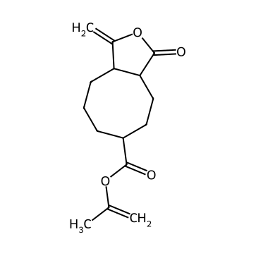 C=C(C)OC(=O)C1CCCC2C(=C)OC(=O)C2CC1